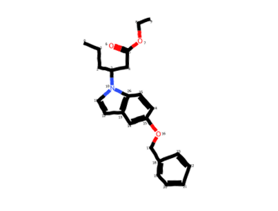 CCCC(CC(=O)OCC)n1ccc2cc(OCc3ccccc3)ccc21